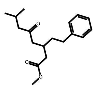 COC(=O)CC(CCc1ccccc1)CC(=O)CC(C)C